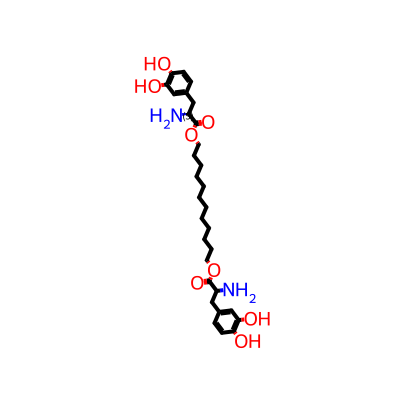 NC(Cc1ccc(O)c(O)c1)C(=O)OCCCCCCCCCCCCOC(=O)[C@@H](N)Cc1ccc(O)c(O)c1